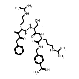 C[C@@H](O)[C@H](NN[C@@H](CCCNC(N)N)C(=O)C(=O)Cc1ccccc1)C(=O)N[C@@H](CCCNC(N)N)C(=O)NCc1ccc(C(=N)N)cc1